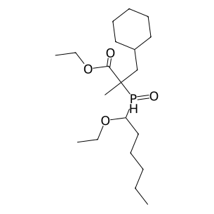 CCCCCC(OCC)[PH](=O)C(C)(CC1CCCCC1)C(=O)OCC